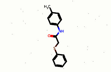 Cc1ccc(NC(=O)CSc2ccccc2)cc1